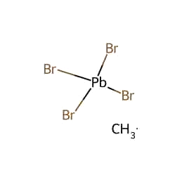 [Br][Pb]([Br])([Br])[Br].[CH3]